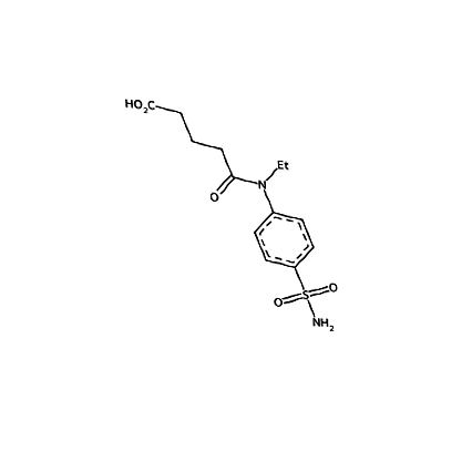 CCN(C(=O)CCCC(=O)O)c1ccc(S(N)(=O)=O)cc1